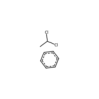 CC(Cl)Cl.c1ccccc1